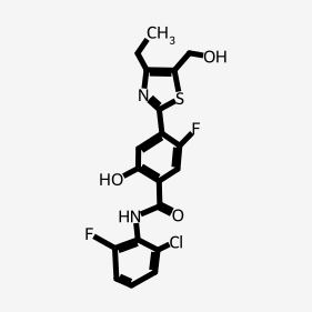 CCc1nc(-c2cc(O)c(C(=O)Nc3c(F)cccc3Cl)cc2F)sc1CO